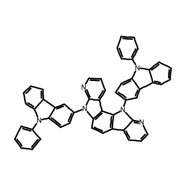 c1ccc(-n2c3ccccc3c3cc(-n4c5ccc6c7cccnc7n(-c7ccc8c(c7)c7ccccc7n8-c7ccccc7)c6c5c5cccnc54)ccc32)cc1